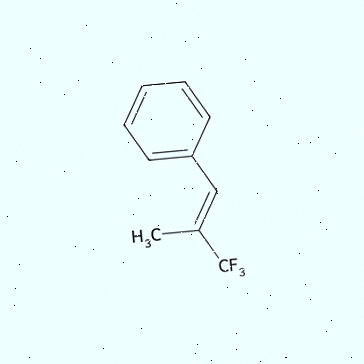 C/C(=C\c1ccccc1)C(F)(F)F